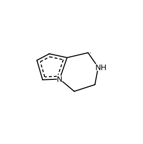 [CH]1NCCn2cccc21